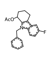 CC(=O)OC1CCCc2c1n(Cc1ccccc1)c1ccc(F)cc21